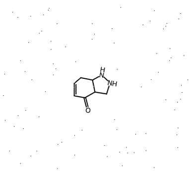 O=C1C=CCC2NNCC12